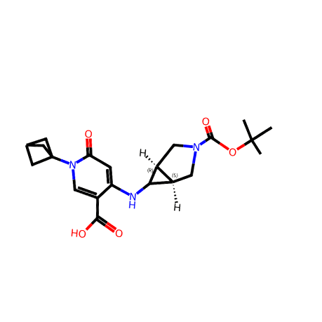 CC(C)(C)OC(=O)N1C[C@@H]2C(Nc3cc(=O)n(C45CC(C4)C5)cc3C(=O)O)[C@@H]2C1